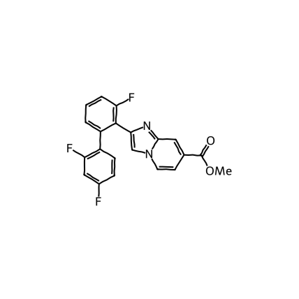 COC(=O)c1ccn2cc(-c3c(F)cccc3-c3ccc(F)cc3F)nc2c1